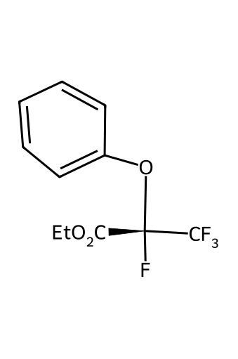 CCOC(=O)[C@@](F)(Oc1ccccc1)C(F)(F)F